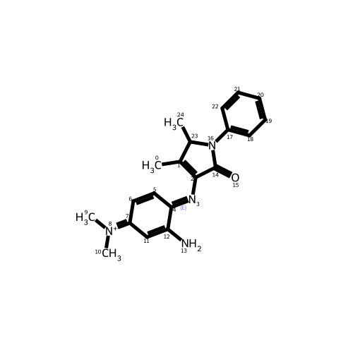 CC1=C(/N=C2\C=CC(=[N+](C)C)C=C2N)C(=O)N(c2ccccc2)C1C